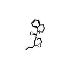 CCCC1CN(C(=O)N2CCCc3ccccc32)CCO1